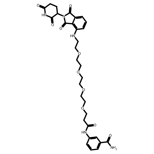 NC(=O)c1cccc(NC(=O)CCOCCOCCOCCOCCNc2cccc3c2C(=O)N(C2CCC(=O)NC2=O)C3=O)c1